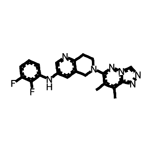 Cc1c(N2CCc3ncc(Nc4cccc(F)c4F)cc3C2)nn2cnnc2c1C